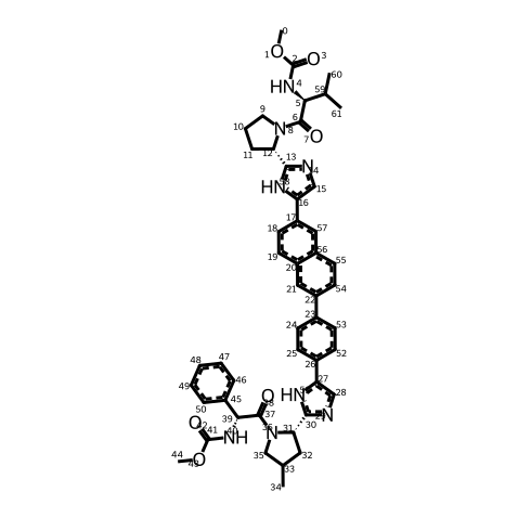 COC(=O)N[C@H](C(=O)N1CCC[C@H]1c1ncc(-c2ccc3cc(-c4ccc(-c5cnc([C@@H]6CC(C)CN6C(=O)[C@H](NC(=O)OC)c6ccccc6)[nH]5)cc4)ccc3c2)[nH]1)C(C)C